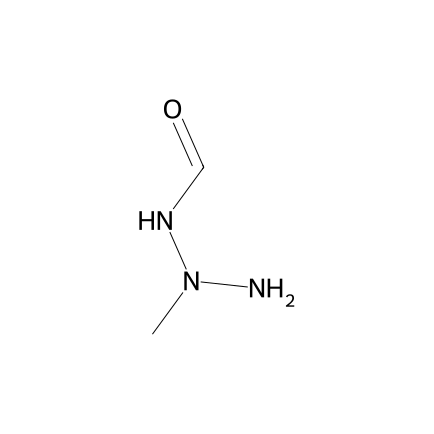 CN(N)NC=O